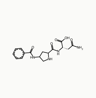 NC(=O)C[C@H](NC(=O)C1CC(NC(=O)c2ccccc2)CN1)C(=O)O